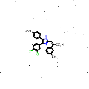 COc1ccc(-c2[nH]c(C=C(C(=O)O)c3cccc(C)c3)nc2-c2ccc(Cl)c(Cl)c2)cc1